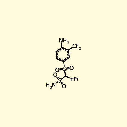 CCCC(S(N)(=O)=O)S(=O)(=O)c1ccc(N)c(C(F)(F)F)c1